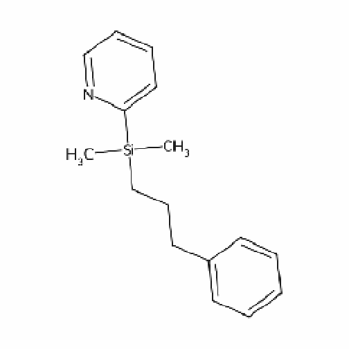 C[Si](C)(CCCc1ccccc1)c1ccccn1